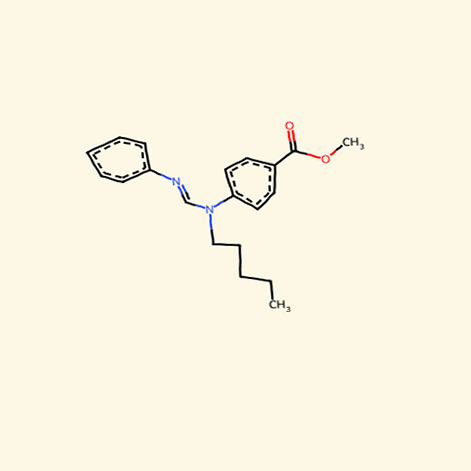 CCCCCN(C=Nc1ccccc1)c1ccc(C(=O)OC)cc1